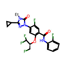 CCn1c(C2CC2)nn(-c2cc(O[C@@H](CF)C(F)F)c(C(=O)Nc3ccccc3F)cc2F)c1=O